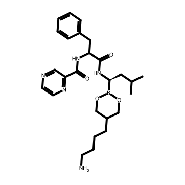 CC(C)C[C@H](NC(=O)C(Cc1ccccc1)NC(=O)c1cnccn1)B1OCC(CCCCN)CO1